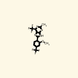 COc1cc(C(F)(F)F)ccc1-c1nc2c(C(F)(F)F)nc(C)nc2[nH]1